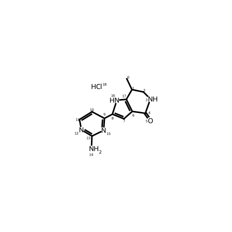 CC1CNC(=O)c2cc(-c3ccnc(N)n3)[nH]c21.Cl